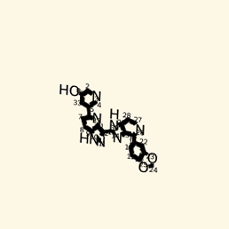 Oc1cncc(-c2ccc3[nH]nc(-c4nc5c(-c6ccc7c(c6)OCO7)nccc5[nH]4)c3n2)c1